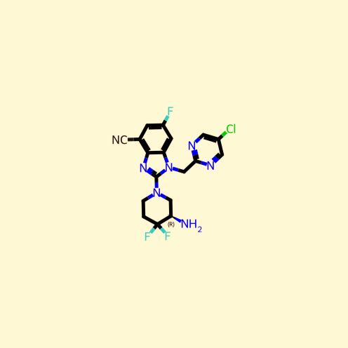 N#Cc1cc(F)cc2c1nc(N1CCC(F)(F)[C@H](N)C1)n2Cc1ncc(Cl)cn1